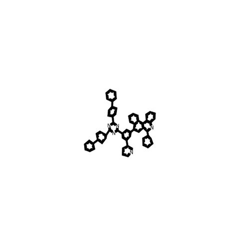 c1ccc(-c2ccc(-c3nc(-c4ccc(-c5ccccc5)cc4)nc(-c4cc(-c5cccnc5)cc(-c5cc6c(-c7ccccc7)nc7ccccc7c6c6ccccc56)c4)n3)cc2)cc1